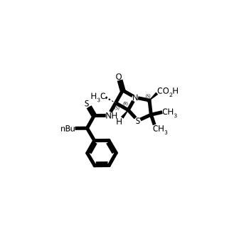 CCCCC(C(=S)N[C@@]1(C)C(=O)N2[C@@H](C(=O)O)C(C)(C)S[C@@H]21)c1ccccc1